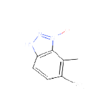 Cc1c([N+](=O)[O-])ccc2[nH]n[n+]([O-])c12